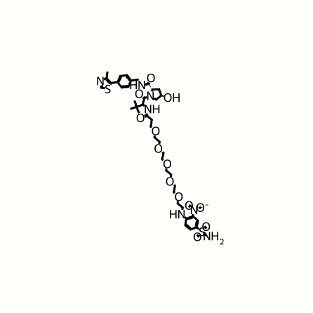 Cc1ncsc1-c1ccc(CNC(=O)[C@@H]2C[C@@H](O)CN2C(=O)C(NC(=O)CCOCCOCCOCCOCCOCCNc2ccc(S(N)(=O)=O)cc2[N+](=O)[O-])C(C)(C)C)cc1